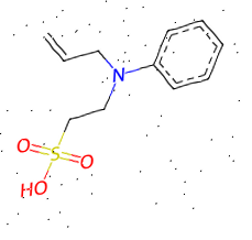 C=CCN(CCS(=O)(=O)O)c1ccccc1